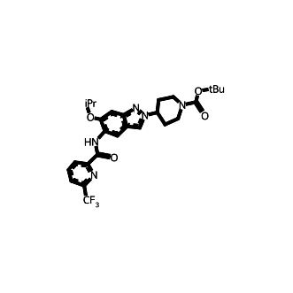 CC(C)Oc1cc2nn(C3CCN(C(=O)OC(C)(C)C)CC3)cc2cc1NC(=O)c1cccc(C(F)(F)F)n1